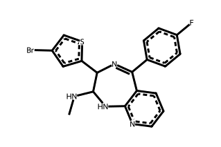 CNC1Nc2ncccc2C(c2ccc(F)cc2)=NC1c1cc(Br)cs1